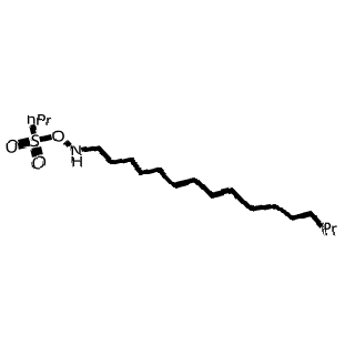 CCCS(=O)(=O)ONCCCCCCCCCCCCCC(C)C